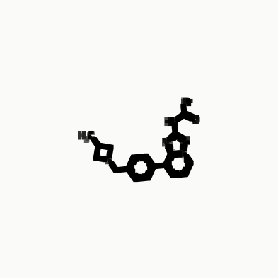 CC1CN(Cc2ccc(-c3cccn4nc(NC(=O)C(C)C)nc34)cc2)C1